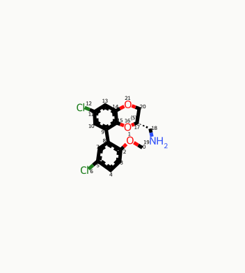 COc1ccc(Cl)cc1-c1cc(Cl)cc2c1O[C@@H](CN)CO2